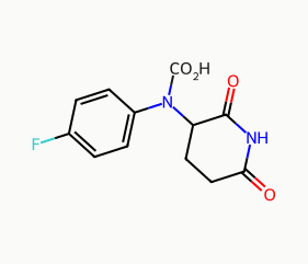 O=C1CCC(N(C(=O)O)c2ccc(F)cc2)C(=O)N1